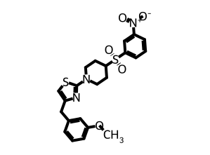 COc1cccc(Cc2csc(N3CCC(S(=O)(=O)c4cccc([N+](=O)[O-])c4)CC3)n2)c1